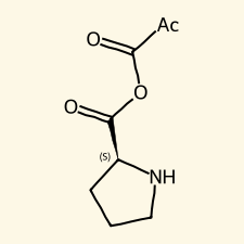 CC(=O)C(=O)OC(=O)[C@@H]1CCCN1